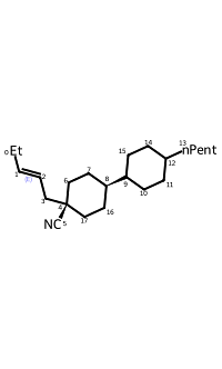 CC/C=C/C[C@]1(C#N)CC[C@@H](C2CCC(CCCCC)CC2)CC1